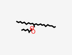 CCCCCCCCCCCC(CCCCCCCCC)COC(=O)C(C)CCCC